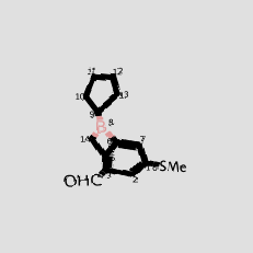 CSc1cc(C=O)c2c(c1)B(C1CCCC1)C2